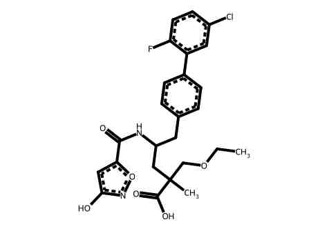 CCOCC(C)(CC(Cc1ccc(-c2cc(Cl)ccc2F)cc1)NC(=O)c1cc(O)no1)C(=O)O